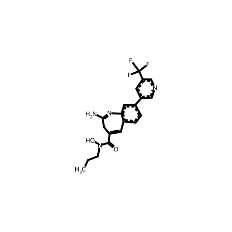 CCCN(O)C(=O)C1=Cc2ccc(-c3cncc(C(F)(F)F)c3)cc2N=C(N)C1